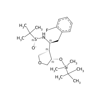 CC(C)(C)[S@@+]([O-])N[C@@H](Cc1ccccc1F)[C@H]1COC[C@H]1O[Si](C)(C)C(C)(C)C